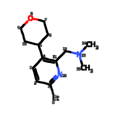 CCc1ccc(C2CCOCC2)c(CN(C)C)n1